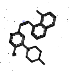 CCc1cnc(/C=C\c2cccc3cccc(C)c23)cc1N1CCC(C)CC1